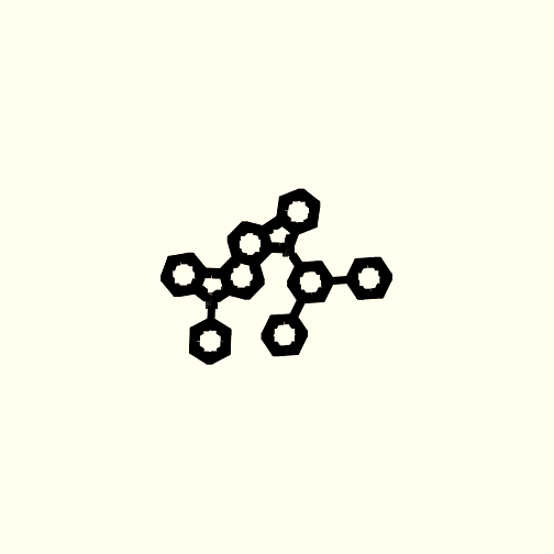 c1ccc(-c2cc(-c3ccccc3)cc(-n3c4ccccc4c4ccc5c(ccc6c5c5ccccc5n6-c5ccccc5)c43)c2)cc1